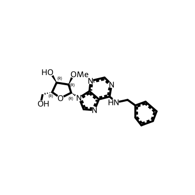 CO[C@@H]1[C@H](O)[C@@H](CO)O[C@H]1n1cnc2c(NCc3ccccc3)ncnc21